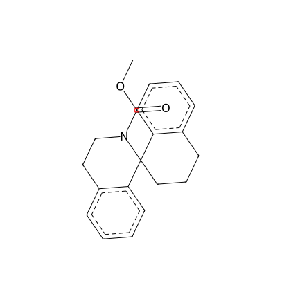 COC(=O)N1CCc2ccccc2C12CCCc1ccccc12